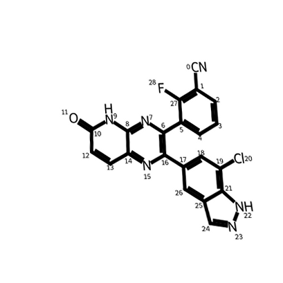 N#Cc1cccc(-c2nc3[nH]c(=O)ccc3nc2-c2cc(Cl)c3[nH]ncc3c2)c1F